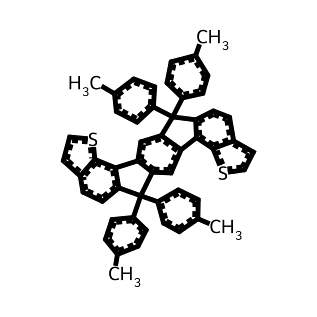 Cc1ccc(C2(c3ccc(C)cc3)c3cc4c(cc3-c3c2ccc2ccsc32)C(c2ccc(C)cc2)(c2ccc(C)cc2)c2ccc3ccsc3c2-4)cc1